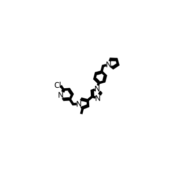 Cc1cc(-c2cn(-c3ccc(Cn4cccc4)cc3)cn2)cn1Cc1ccc(Cl)nc1